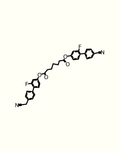 N#CCc1ccc(-c2ccc(OC(=O)CCCCCC(=O)Oc3ccc(-c4ccc(C#N)cc4)c(F)c3)cc2F)cc1